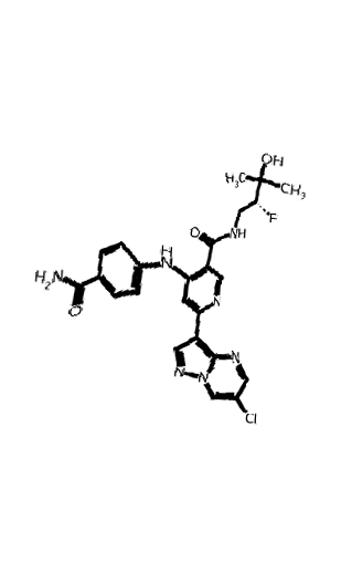 CC(C)(O)[C@H](F)CNC(=O)c1cnc(-c2cnn3cc(Cl)cnc23)cc1Nc1ccc(C(N)=O)cc1